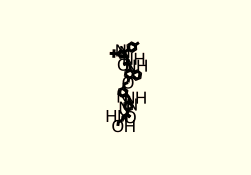 Cc1ccc(-n2nc(C(C)(C)C)cc2NC(=O)Nc2ccc(OCc3ccnc(Nc4cnc(C(=O)NCCO)cn4)c3)c3ccccc23)cc1